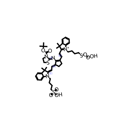 CC(C)(C)OC(=O)N1CCS/C1=N\C1=C(/C=C/C2=[N+](CCCCSOOO)c3ccccc3C2(C)C)CC/C1=C\C=C1\N(CCCCS(=O)(=O)O)c2ccccc2C1(C)C